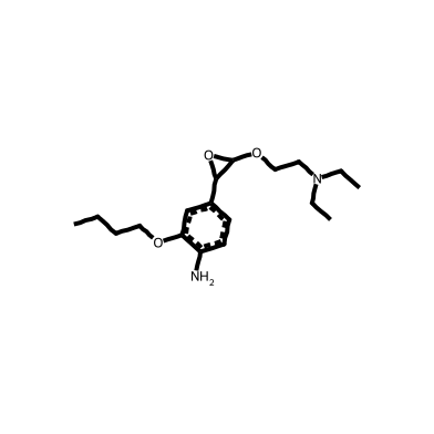 CCCCOc1cc(C2OC2OCCN(CC)CC)ccc1N